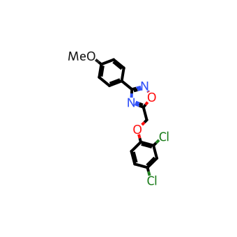 COc1ccc(-c2noc(COc3ccc(Cl)cc3Cl)n2)cc1